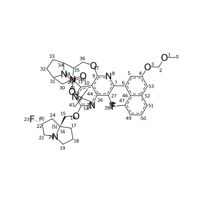 COCOc1cc(-c2nc3c4c(nc(OC[C@@]56CCCN5C[C@H](F)C6)nc4c2F)N2CC4CCC(C2CO3)N4C(=O)OC(C)(C)C)c2c(F)cccc2c1